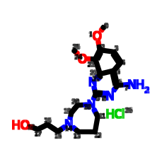 COc1ccc2c(N)nc(N3CCCN(CCCO)CC3)nc2c1OC.Cl